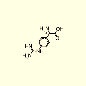 N=C(N)Nc1ccc([C@@H](N)C(=O)O)cc1